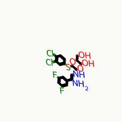 N/C(=C\N[C@@H]1OC(O)C(CO)OC1Sc1ccc(Cl)c(Cl)c1)c1cc(F)cc(F)c1